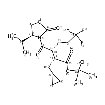 CC(C)[C@H]1COC(=O)N1C(=O)[C@H](CCC(F)(F)F)[C@@H](CC1CC1)C(=O)OC(C)(C)C